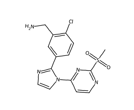 CS(=O)(=O)c1nccc(-n2ccnc2-c2ccc(Cl)c(CN)c2)n1